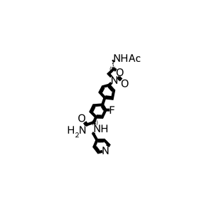 CC(=O)NC[C@H]1CN(c2ccc(-c3ccc([C@@H](NCc4ccncc4)C(N)=O)cc3F)cc2)C(=O)O1